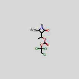 CC(=O)OC1NC(=O)C1C(C)OC(=O)OC(Cl)(Cl)CCl